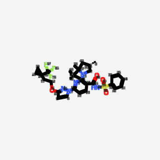 C[C@@H]1CN(c2nc(-n3ccc(OCCC4(C(F)(F)F)CC4)n3)ccc2C(=O)NS(=O)(=O)c2ccccc2)C(C)([Si](C)(C)C)C1